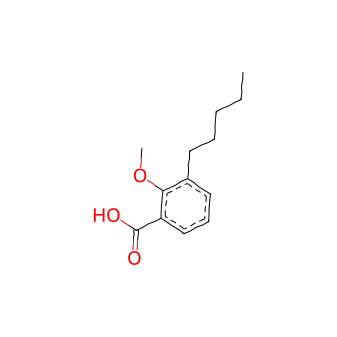 CCCCCc1cccc(C(=O)O)c1OC